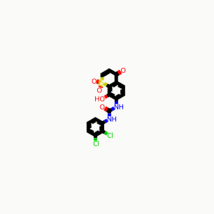 O=C(Nc1ccc2c(c1O)S(=O)(=O)C=CC2=O)Nc1cccc(Cl)c1Cl